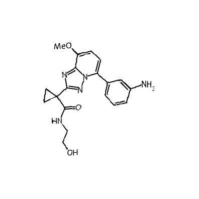 COc1ccc(-c2cccc(N)c2)n2nc(C3(C(=O)NCCO)CC3)nc12